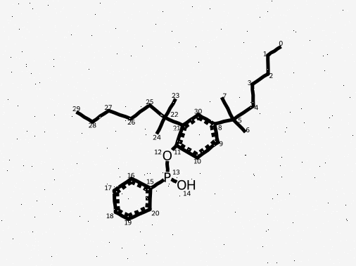 CCCCCC(C)(C)c1ccc(OP(O)c2ccccc2)c(C(C)(C)CCCCC)c1